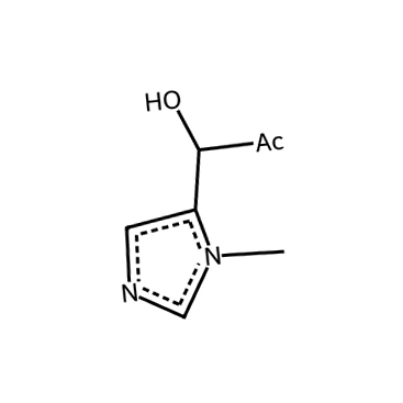 CC(=O)C(O)c1cncn1C